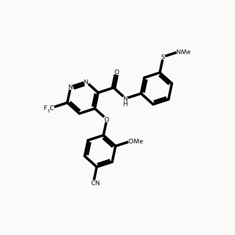 CNSc1cccc(NC(=O)c2nnc(C(F)(F)F)cc2Oc2ccc(C#N)cc2OC)c1